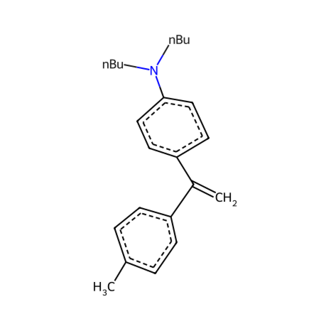 C=C(c1ccc(C)cc1)c1ccc(N(CCCC)CCCC)cc1